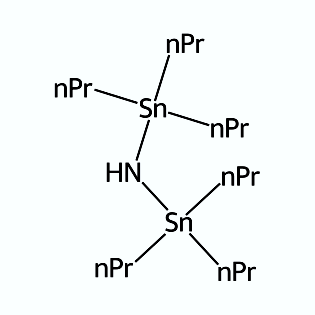 CC[CH2][Sn]([CH2]CC)([CH2]CC)[NH][Sn]([CH2]CC)([CH2]CC)[CH2]CC